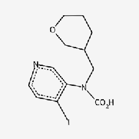 O=C(O)N(CC1CCCOC1)c1cnccc1I